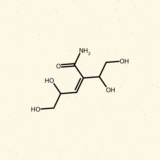 NC(=O)C(=CC(O)CO)C(O)CO